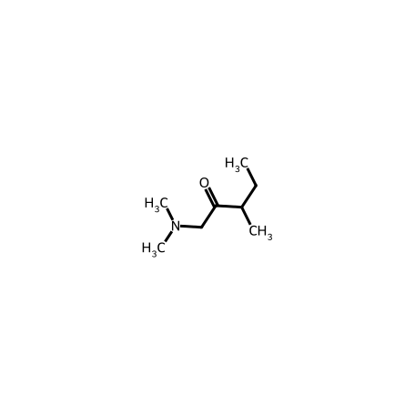 CCC(C)C(=O)CN(C)C